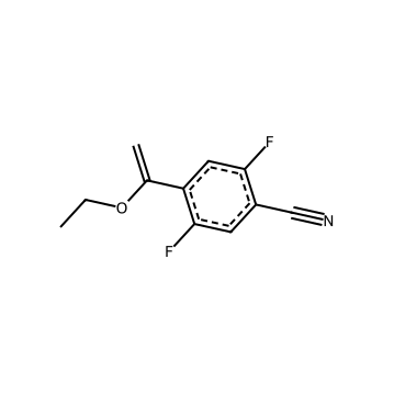 C=C(OCC)c1cc(F)c(C#N)cc1F